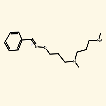 CNCCCN(C)CCCO/N=C/c1ccccc1